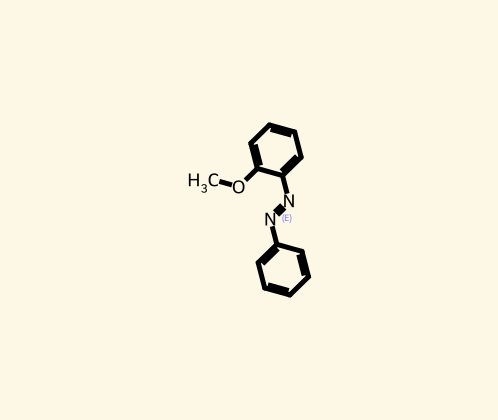 COc1ccccc1/N=N/c1ccccc1